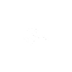 c1ccc(C2(c3ccccc3)c3cc(N(c4ccc(-c5ccc6oc7ccccc7c6c5)cc4)c4ccc5c(c4)C4(c6ccccc6-5)c5ccccc5-n5c6ccccc6c6cccc4c65)ccc3-c3c2ccc2ccccc32)cc1